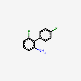 Nc1cccc(F)c1-c1ccc(F)cc1